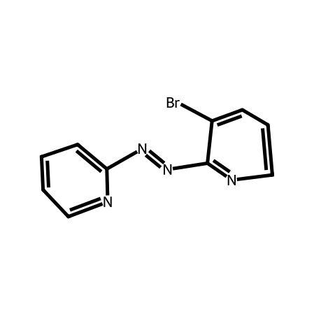 Brc1cccnc1N=Nc1ccccn1